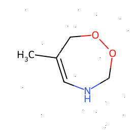 CC1=CNCOOC1